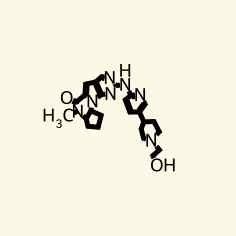 CN1C(=O)c2cc3cnc(Nc4ccc(C5CCN(CCO)CC5)cn4)nc3n2C2CCCC21